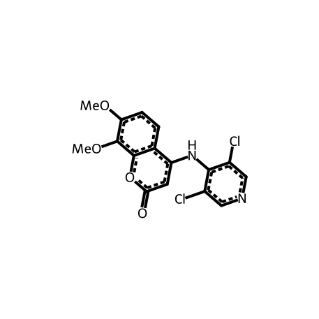 COc1ccc2c(Nc3c(Cl)cncc3Cl)cc(=O)oc2c1OC